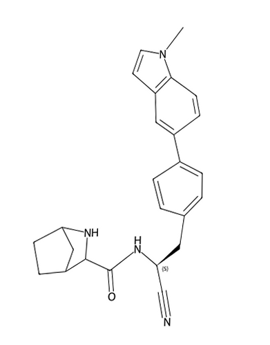 Cn1ccc2cc(-c3ccc(C[C@@H](C#N)NC(=O)C4NC5CCC4C5)cc3)ccc21